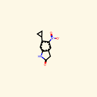 O=C1Cc2cc([N+](=O)[O-])c(C3CC3)cc2N1